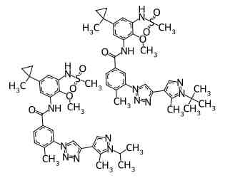 COc1c(NC(=O)c2ccc(C)c(-n3cc(-c4cnn(C(C)(C)C)c4C)nn3)c2)cc(C2(C)CC2)cc1NS(C)(=O)=O.COc1c(NC(=O)c2ccc(C)c(-n3cc(-c4cnn(C(C)C)c4C)nn3)c2)cc(C2(C)CC2)cc1NS(C)(=O)=O